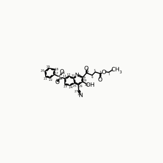 CCOC(=O)CCC(=O)c1nc2cc(S(=O)(=O)c3ccccc3)ccc2c(C#N)c1O